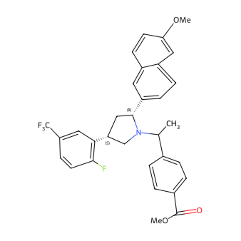 COC(=O)c1ccc(C(C)N2C[C@H](c3cc(C(F)(F)F)ccc3F)C[C@@H]2c2ccc3cc(OC)ccc3c2)cc1